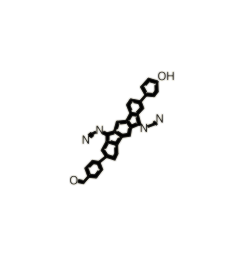 N#C/N=c1\c2cc(-c3ccc(O)cc3)ccc2c2cc3/c(=N/C#N)c4cc(-c5ccc(C=O)cc5)ccc4c3cc12